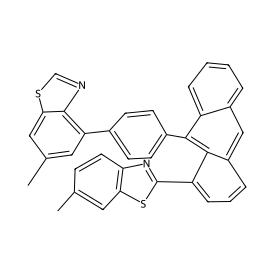 Cc1ccc2nc(-c3cccc4cc5ccccc5c(-c5ccc(-c6cc(C)cc7scnc67)cc5)c34)sc2c1